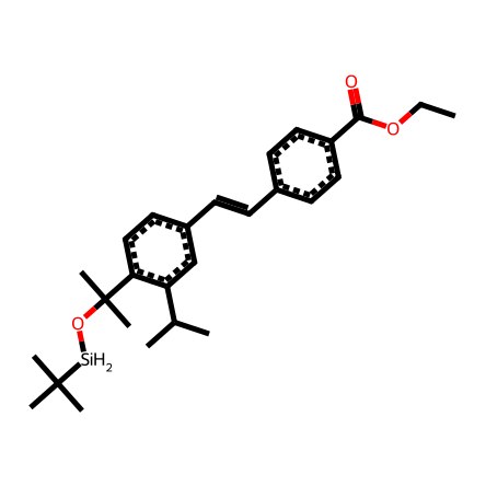 CCOC(=O)c1ccc(C=Cc2ccc(C(C)(C)O[SiH2]C(C)(C)C)c(C(C)C)c2)cc1